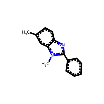 Cc1ccc2nc(-c3ccccc3)n(C)c2c1